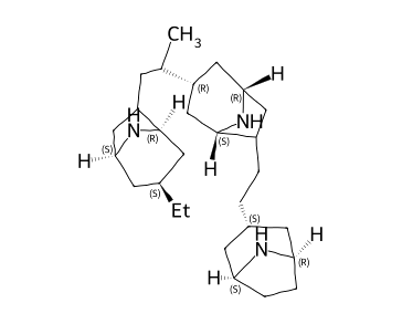 CC[C@H]1C[C@H]2CC(CC(C)[C@@H]3C[C@@H]4CC(CC[C@@H]5C[C@H]6CC[C@@H](C5)N6)[C@H](C3)N4)[C@@H](C1)N2